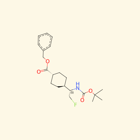 CC(C)(C)OC(=O)N[C@H](CF)[C@H]1CC[C@H](C(=O)OCc2ccccc2)CC1